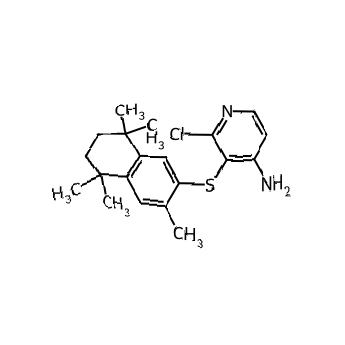 Cc1cc2c(cc1Sc1c(N)ccnc1Cl)C(C)(C)CCC2(C)C